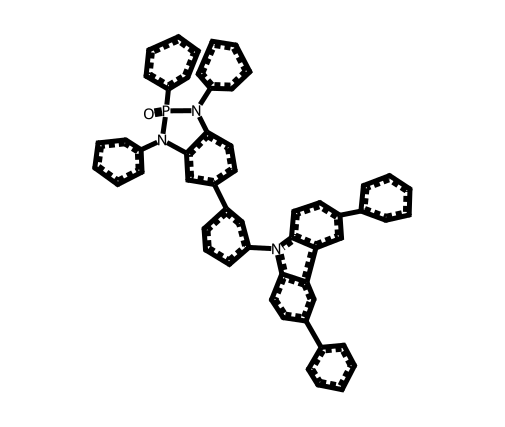 O=P1(c2ccccc2)N(c2ccccc2)c2ccc(-c3cccc(-n4c5ccc(-c6ccccc6)cc5c5cc(-c6ccccc6)ccc54)c3)cc2N1c1ccccc1